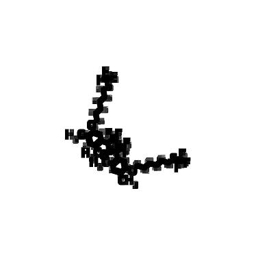 Cc1cc(C)c(C([S+]([O-])C(c2cc(OCCCCCCSC(F)(F)F)c(C)cc2C)C(F)(F)F)C(F)(F)F)cc1OCCCCCCSC(F)(F)F